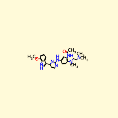 COc1cccc2c(-c3ccnc(Nc4ccc(N(C)CCN(C)C)c(NC(C)=O)c4)n3)c[nH]c12